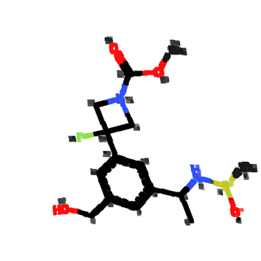 CC(N[S@+]([O-])C(C)(C)C)c1cc(CO)cc(C2(F)CN(C(=O)OC(C)(C)C)C2)c1